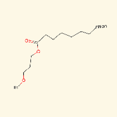 CCCCCCCCCCCCCCCC(=O)OCCCOCC